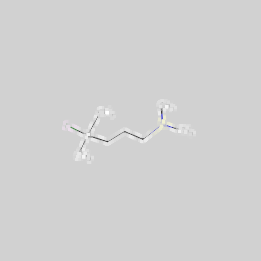 CN(C)CCC[Si](C)(C)F